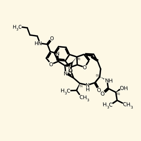 CCCCNC(=O)c1coc(-c2nc3oc2[C@@]24c5ccccc5NC2Oc2ccc(cc24)C[C@H](NC(=O)[C@@H](O)C(C)C)C(=O)N[C@H]3C(C)C)n1